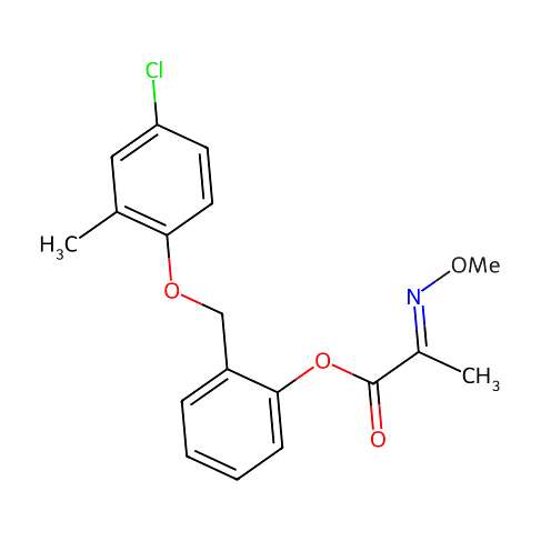 CON=C(C)C(=O)Oc1ccccc1COc1ccc(Cl)cc1C